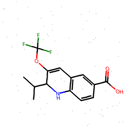 CC(C)C1Nc2ccc(C(=O)O)cc2C=C1OC(F)(F)F